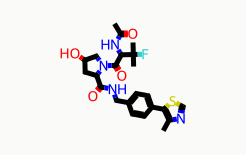 CC(=O)NC(C(=O)N1CC(O)CC1C(=O)NCc1ccc(-c2scnc2C)cc1)C(C)(C)F